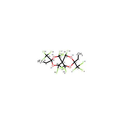 CCC1(C(F)(F)F)OC(F)(F)C2(C(F)(F)O1)C(F)(F)OC(CC)(C(F)(F)F)OC2(F)F